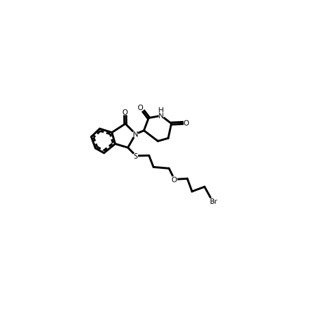 O=C1CCC(N2C(=O)c3ccccc3C2SCCCOCCCBr)C(=O)N1